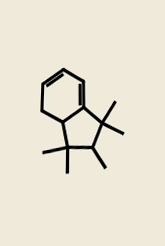 CC1C(C)(C)C2=CC=CCC2C1(C)C